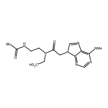 CNc1ncnc2c1ncn2CC(=O)N(CCNC(=O)C(C)(C)C)CC(=O)O